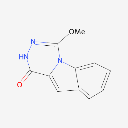 COc1n[nH]c(=O)c2cc3ccccc3n12